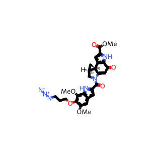 COC(=O)c1cc2c([nH]1)C(=O)C=C1N(C(=O)c3cc4cc(OC)c(OCCCN=[N+]=[N-])c(OC)c4[nH]3)C[C@H]3C[C@]123